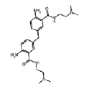 CN(C)CCNC(=O)c1cc(Cc2ccc(N)c(C(=O)NCCN(C)C)c2)ccc1N